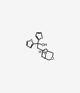 CN1C2COCC1CC(CC(O)(c1cccs1)c1cccs1)C2